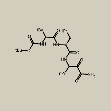 CCCC(NC(=O)[C@H](CC(C)C)NC(=O)C(NC(=O)OC(C)(C)C)C(C)(C)C)C(=O)C(N)=O